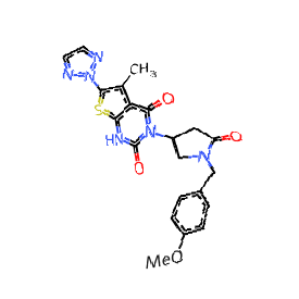 COc1ccc(CN2CC(n3c(=O)[nH]c4sc(-n5nccn5)c(C)c4c3=O)CC2=O)cc1